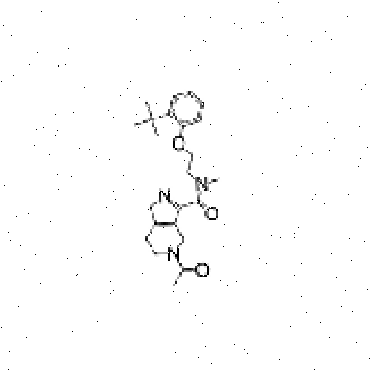 CC(=O)N1CCC2=C(C1)C(C(=O)N(C)CCOc1ccccc1C(C)(C)C)=NC2